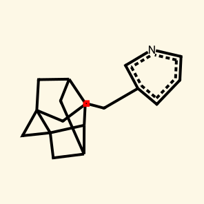 c1cncc(CCCC23CC4CC5CC2(C3)C5C4)c1